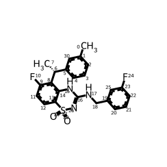 Cc1cccc([C@@H](C)c2c(F)ccc3c2NC(NCc2cccc(F)c2)=NS3(=O)=O)c1